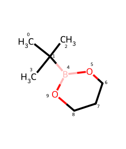 CC(C)(C)B1OCCCO1